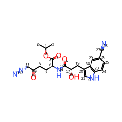 CC(C)OC(=O)[C@H](CCC(=O)C=[N+]=[N-])NC(=O)[C@@H](O)Cc1c[nH]c2ccc(C#N)cc12